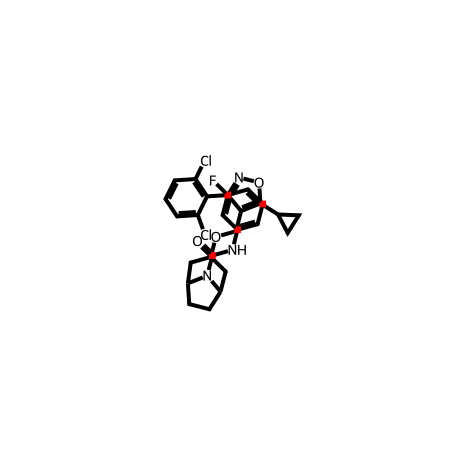 O=C(Nc1cccc(F)c1)N1C2CCC1CC(OCc1c(-c3c(Cl)cccc3Cl)noc1C1CC1)C2